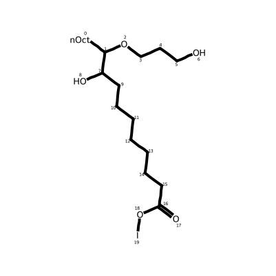 CCCCCCCCC(OCCCO)C(O)CCCCCCCC(=O)OI